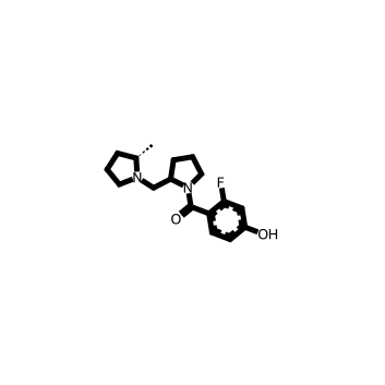 C[C@H]1CCCN1CC1CCCN1C(=O)c1ccc(O)cc1F